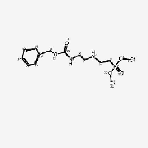 CCOP(=O)(CCNCCNC(=O)OCc1ccccc1)OCC